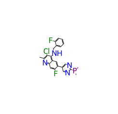 Cc1nc2cc(F)c(-c3cnc(P(C)C)nc3)cc2c(NCc2ccccc2F)c1Cl